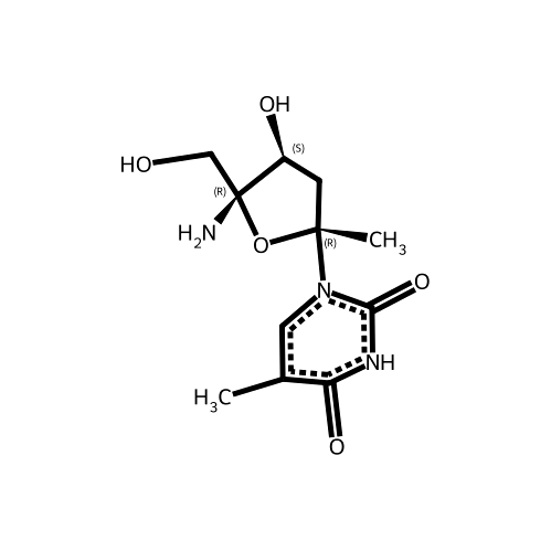 Cc1cn([C@@]2(C)C[C@H](O)[C@@](N)(CO)O2)c(=O)[nH]c1=O